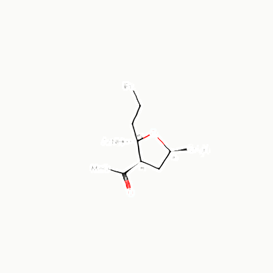 COC(=O)[C@@H]1C[C@H](C(=O)O)O[C@@]1(CCC(C)C)NC(C)=O